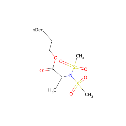 CCCCCCCCCCCCOC(=O)C(C)N(S(C)(=O)=O)S(C)(=O)=O